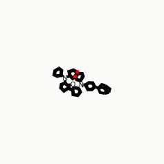 c1ccc(N(c2ccccc2)c2cccc3c2oc2c(N(c4ccccc4)c4ccc(C56CC7CC(C5)C(C7)C6)cc4)cccc23)cc1